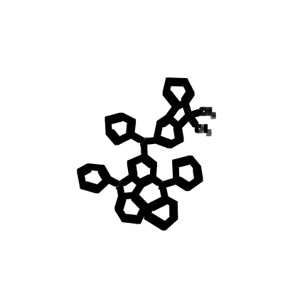 CC1(C)c2ccccc2-c2cc(N(c3ccccc3)c3cc(N(c4ccccc4)c4ccccc4)c4c5ccccc5n(-c5ccccc5)c4c3)ccc21